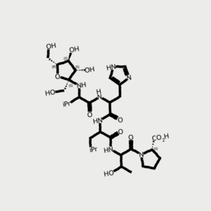 CC(C)CC(NC(=O)C(Cc1c[nH]cn1)NC(=O)C(N[C@@]1(CO)O[C@H](CO)[C@@H](O)[C@@H]1O)C(C)C)C(=O)NC(C(=O)N1CCC[C@H]1C(=O)O)C(C)O